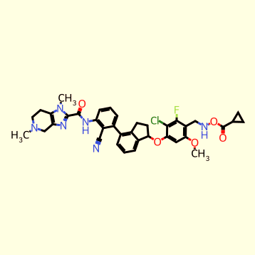 COc1cc(OC2CCc3c(-c4cccc(NC(=O)c5nc6c(n5C)CCN(C)C6)c4C#N)cccc32)c(Cl)c(F)c1CNOC(=O)C1CC1